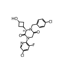 O=C1[C@@H](C2CC(O)C2)N(Cc2ccc(Cl)cc2)C(=O)CN1c1ncc(Cl)cc1F